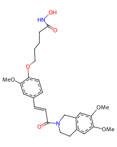 COc1cc2c(cc1OC)CN(C(=O)/C=C/c1ccc(OCCCCC(=O)NO)c(OC)c1)CC2